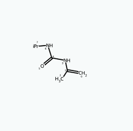 C=C(C)NC(=O)NC(C)C